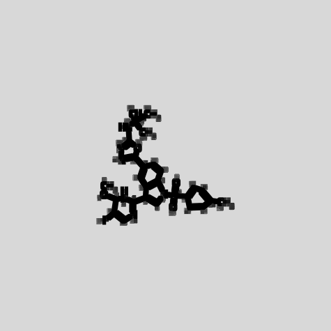 COC1NC(c2cn(S(=O)(=O)c3ccc(C)cc3)c3ccc(-c4nnc(NC(C)(C)C)o4)cc23)=NC=C1F